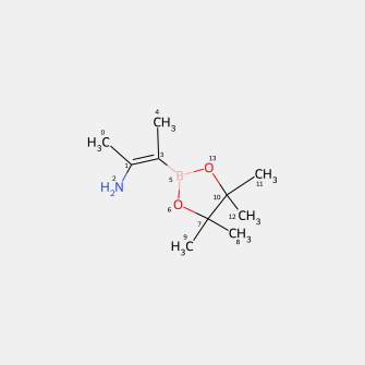 C/C(N)=C(\C)B1OC(C)(C)C(C)(C)O1